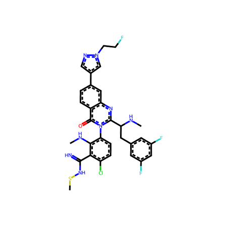 CNc1c(-n2c(C(Cc3cc(F)cc(F)c3)NC)nc3cc(-c4cnn(CCF)c4)ccc3c2=O)ccc(Cl)c1C(=N)NSC